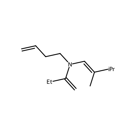 C=CCCN(/C=C(\C)C(C)C)C(=C)CC